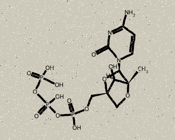 C[C@]12OC[C@](COP(=O)(O)OP(=O)(O)OP(=O)(O)O)(O[C@H]1n1ccc(N)nc1=O)[C@H]2O